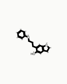 Oc1cc2c(cc1CCCOc1ccccc1)OCC2